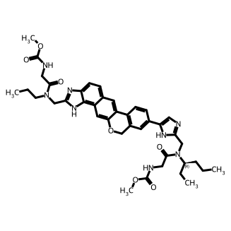 CCC[C@@H](CC)N(Cc1ncc(-c2ccc3c(c2)COc2cc4c(ccc5nc(CN(CCC)C(=O)CNC(=O)OC)[nH]c54)cc2-3)[nH]1)C(=O)CNC(=O)OC